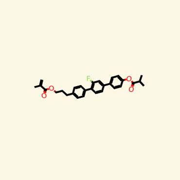 C=C(C)C(=O)OCCCc1ccc(-c2ccc(-c3ccc(OC(=O)C(C)C)cc3)cc2F)cc1